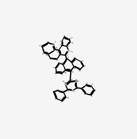 c1ccc(-c2nc(-c3ccccc3)nc(-c3c4ccccc4c(-c4nc5ccccc5c5c4ccc4cccnc45)c4ccccc34)n2)cc1